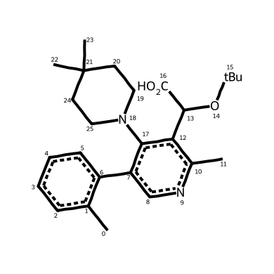 Cc1ccccc1-c1cnc(C)c(C(OC(C)(C)C)C(=O)O)c1N1CCC(C)(C)CC1